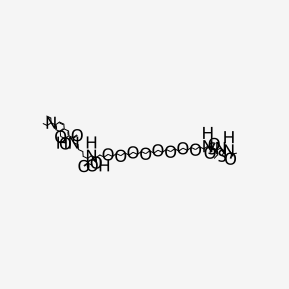 CCN(CC)c1ccc2cc(C(=O)NCCCCC(NC(=O)CCOCCOCCOCCOCCOCCOCCOCCOCCNS(=O)(=O)c3nc(NC(C)=O)sc3C)C(=O)O)c(=O)oc2c1